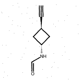 C#C[C@H]1C[C@H](NC=O)C1